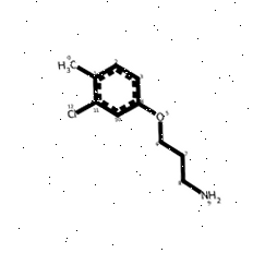 Cc1ccc(OCCCN)cc1Cl